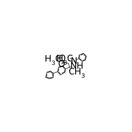 COC(=O)CC(C)(NN(C)c1ccccc1)c1ccc(-c2ccccc2)cc1